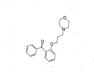 O=C(c1ccccc1)c1ccccc1OCCCN1CCOCC1